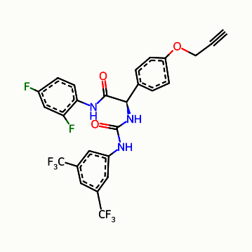 C#CCOc1ccc([C@@H](NC(=O)Nc2cc(C(F)(F)F)cc(C(F)(F)F)c2)C(=O)Nc2ccc(F)cc2F)cc1